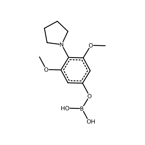 COc1cc(OB(O)O)cc(OC)c1N1CCCC1